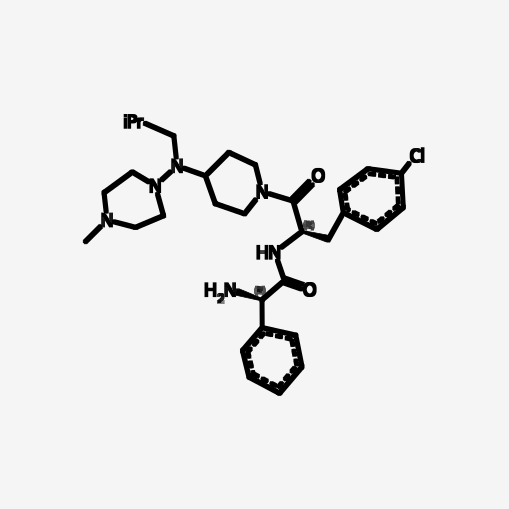 CC(C)CN(C1CCN(C(=O)[C@@H](Cc2ccc(Cl)cc2)NC(=O)[C@H](N)c2ccccc2)CC1)N1CCN(C)CC1